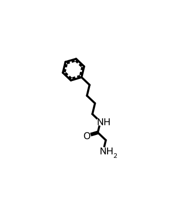 NCC(=O)NCCCCc1ccccc1